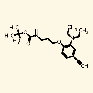 C#Cc1ccc(OCCCNC(=O)OC(C)(C)C)c(N(CC)CC)c1